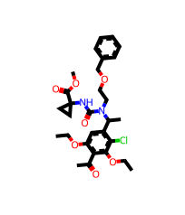 CCOc1cc(C(C)N(CCOCc2ccccc2)C(=O)NC2(C(=O)OC)CC2)c(Cl)c(OCC)c1C(C)=O